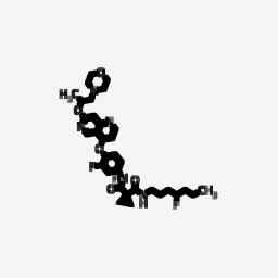 CCCC(F)CCCNC(=O)C1(C(=O)Nc2ccc(Oc3ccnc4cc(OC(C)CN5CCOCC5)ncc34)c(F)c2)CC1